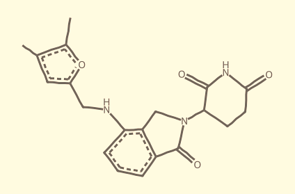 Cc1cc(CNc2cccc3c2CN(C2CCC(=O)NC2=O)C3=O)oc1C